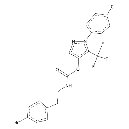 O=C(NCCc1ccc(Br)cc1)Oc1cnn(-c2ccc(Cl)cc2)c1C(F)(F)F